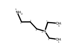 NCCCN(CO)CO